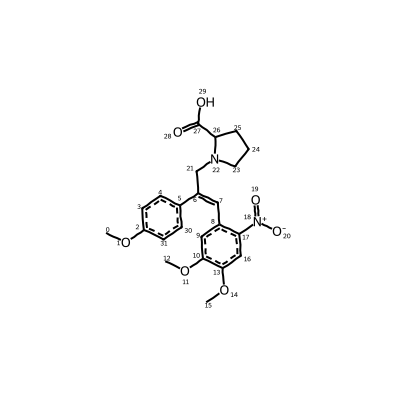 COc1ccc(C(=Cc2cc(OC)c(OC)cc2[N+](=O)[O-])CN2CCCC2C(=O)O)cc1